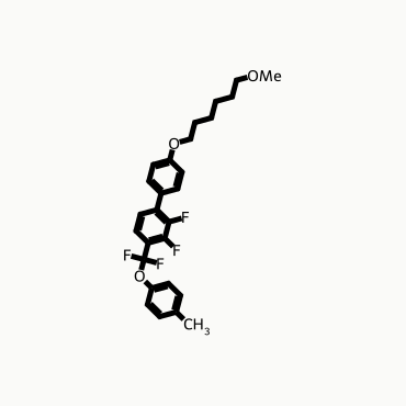 COCCCCCCOc1ccc(-c2ccc(C(F)(F)Oc3ccc(C)cc3)c(F)c2F)cc1